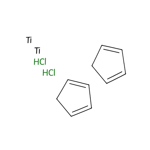 C1=CCC=C1.C1=CCC=C1.Cl.Cl.[Ti].[Ti]